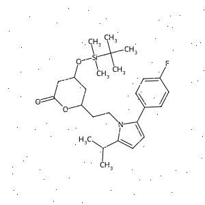 CC(C)c1ccc(-c2ccc(F)cc2)n1CCC1CC(O[Si](C)(C)C(C)(C)C)CC(=O)O1